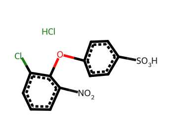 Cl.O=[N+]([O-])c1cccc(Cl)c1Oc1ccc(S(=O)(=O)O)cc1